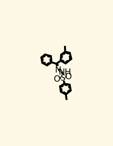 Cc1ccc(S(=O)(=O)NN=C(c2ccccc2)c2cccc(C)c2)cc1